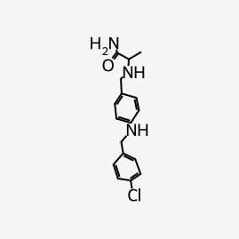 CC(NCc1ccc(NCc2ccc(Cl)cc2)cc1)C(N)=O